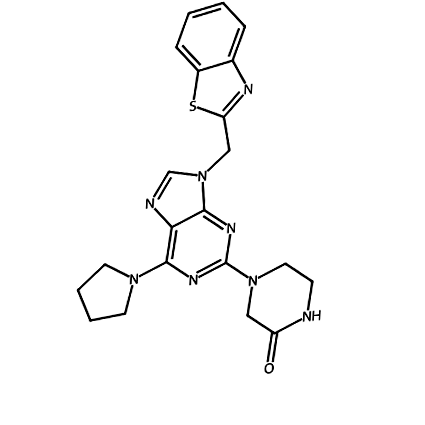 O=C1CN(c2nc(N3CCCC3)c3ncn(Cc4nc5ccccc5s4)c3n2)CCN1